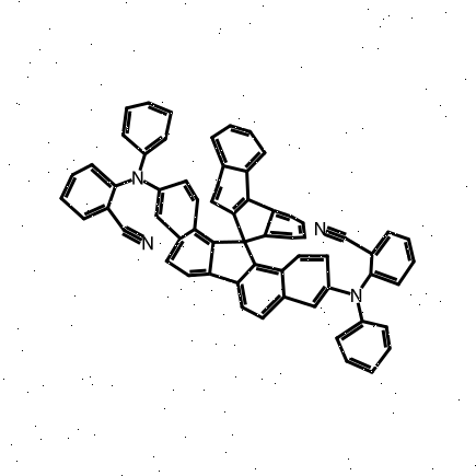 N#Cc1ccccc1N(c1ccccc1)c1ccc2c3c(ccc2c1)-c1ccc2cc(N(c4ccccc4)c4ccccc4C#N)ccc2c1C31c2ccccc2-c2c1ccc1ccccc21